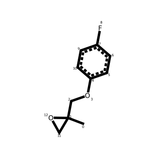 CC1(COc2ccc(F)cc2)CO1